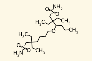 CCCC(OCCCCC(CC)(CC)CS(N)(=O)=O)C(CC)(CC)CS(N)(=O)=O